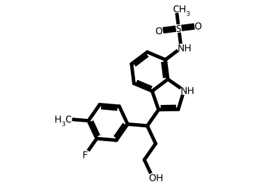 Cc1ccc(C(CCO)c2c[nH]c3c(NS(C)(=O)=O)cccc23)cc1F